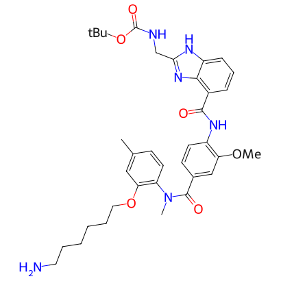 COc1cc(C(=O)N(C)c2ccc(C)cc2OCCCCCCN)ccc1NC(=O)c1cccc2[nH]c(CNC(=O)OC(C)(C)C)nc12